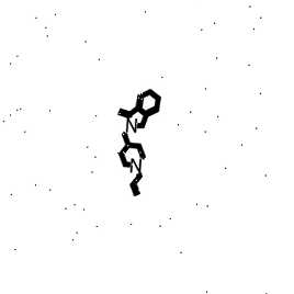 C=CCN1CCC(CN2CC3=CCCC=C3C2=C)CC1